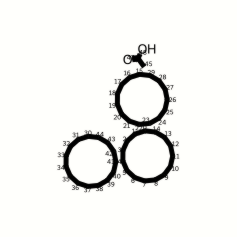 C1CCCCCCCCCCCCCC1.C1CCCCCCCCCCCCCC1.C1CCCCCCCCCCCCCC1.CC(=O)O